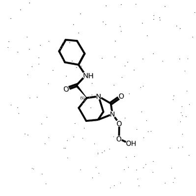 O=C(NC1CCCCC1)[C@@H]1CCC2CN1C(=O)N2OOO